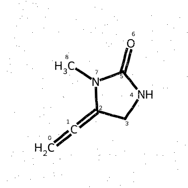 C=C=C1CNC(=O)N1C